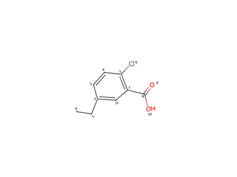 CCc1ccc(Cl)c(C(=O)O)c1